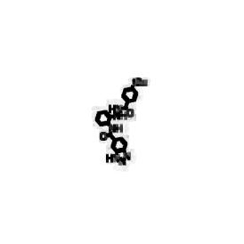 CC(C)(C)c1ccc(C(=O)NNc2ccccc2NC(=O)c2ccc3nn[nH]c3c2)cc1